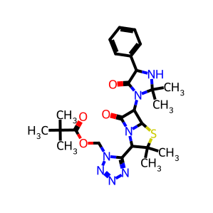 CC(C)(C)C(=O)OCn1nnnc1C1N2C(=O)C(N3C(=O)C(c4ccccc4)NC3(C)C)C2SC1(C)C